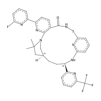 CC1(C)C[C@@H]2CC[C@H](c3cccc(C(F)(F)F)n3)Nc3cccc(n3)SNC(=O)c3ccc(-c4cccc(F)n4)nc3N1C2